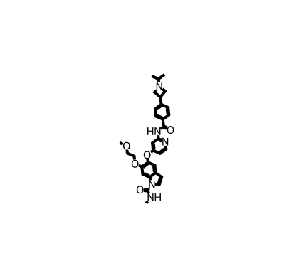 CNC(=O)n1ccc2cc(Oc3ccnc(NC(=O)c4ccc(C5CN(C(C)C)C5)cc4)c3)c(OCCOC)cc21